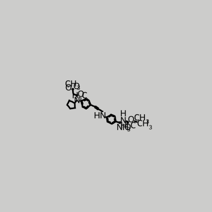 COC(=O)CC(=O)N(c1ccc(C#CCNc2ccc(C(=N)NC(=O)OC(C)(C)C)cc2)cc1C)C1CCCC1